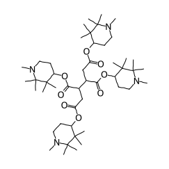 CN1CCC(OC(=O)CC(C(=O)OC2CCN(C)C(C)(C)C2(C)C)C(CC(=O)OC2CCN(C)C(C)(C)C2(C)C)C(=O)OC2CCN(C)C(C)(C)C2(C)C)C(C)(C)C1(C)C